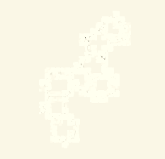 c1ccc2c(c1)nc1n2c2cccc3c4c5c(ccc4n1c32)oc1ccccc15